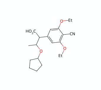 CCOc1cc(C(C(=O)O)C(C)OC2CCCC2)cc(OCC)c1C#N